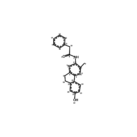 Cc1nc2c(nc1NC(=O)Cc1ccccc1)CCc1cc(O)ccc1-2